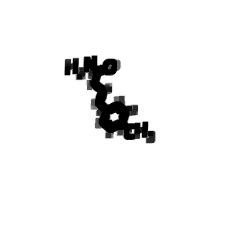 Cc1ccc(C=CCC(N)=O)cc1